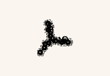 c1ccc(-c2ccc3c(ccc4cc(N(c5ccc(-c6ccc7c(n6)oc6ccccc67)cc5)c5ccc(-c6ccc7c(n6)sc6ccccc67)cc5)ccc43)c2)cc1